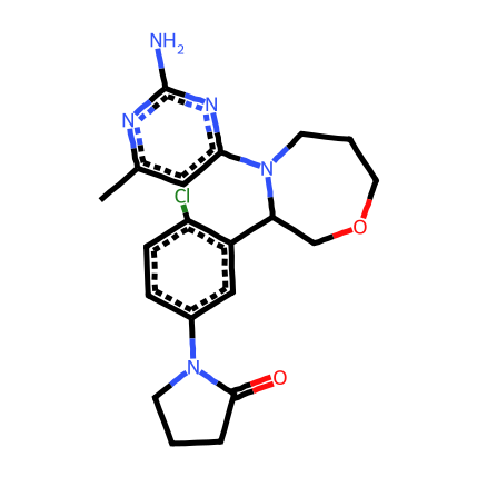 Cc1cc(N2CCCOCC2c2cc(N3CCCC3=O)ccc2Cl)nc(N)n1